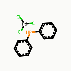 [Cl][Pd]([Cl])[Cl].c1ccc(Pc2ccccc2)cc1